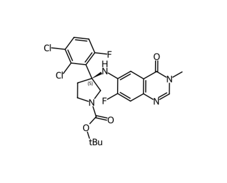 Cn1cnc2cc(F)c(N[C@]3(c4c(F)ccc(Cl)c4Cl)CCN(C(=O)OC(C)(C)C)C3)cc2c1=O